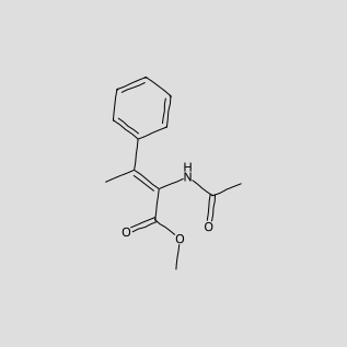 COC(=O)/C(NC(C)=O)=C(\C)c1ccccc1